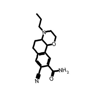 CCCN1CCOC2c3cc(C(N)=O)c(C#N)cc3CCC21